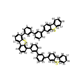 c1cc(-c2cccc(-c3cccc4c3sc3c(-c5cccc(-c6cccc(-c7ccc8c(c7)sc7ccccc78)c6)c5)cccc34)c2)cc(-c2ccc3c(c2)sc2ccccc23)c1